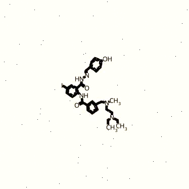 CCN(CC)CCN(C)Cc1cccc(C(=O)Nc2ccc(I)cc2C(=O)NN=Cc2ccc(O)cc2)c1